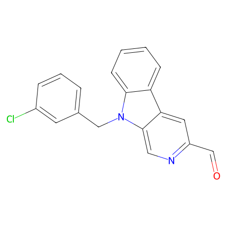 O=Cc1cc2c3ccccc3n(Cc3cccc(Cl)c3)c2cn1